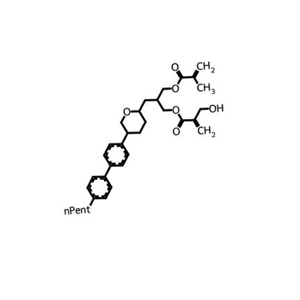 C=C(C)C(=O)OCC(COC(=O)C(=C)CO)CC1CCC(c2ccc(-c3ccc(CCCCC)cc3)cc2)CO1